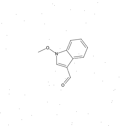 COn1cc(C=O)c2ccccc21